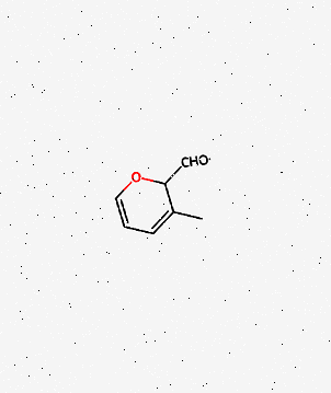 CC1=CC=COC1[C]=O